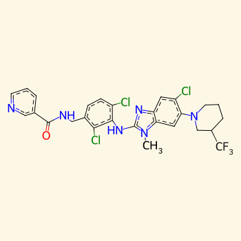 Cn1c(Nc2c(Cl)ccc(CNC(=O)c3cccnc3)c2Cl)nc2cc(Cl)c(N3CCCC(C(F)(F)F)C3)cc21